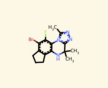 Cc1nnc2n1-c1c(F)c(Br)c3c(c1NC2(C)C)CCC3